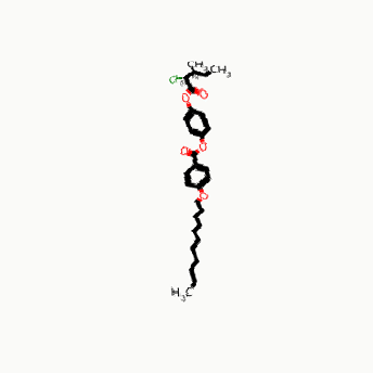 CCCCCCCCCCCOc1ccc(C(=O)Oc2ccc(OC(=O)[C@@H](Cl)[C@@H](C)CC)cc2)cc1